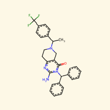 CC(c1ccc(C(F)(F)F)cc1)N1CCc2nc(N)n(C(c3ccccc3)c3ccccc3)c(=O)c2C1